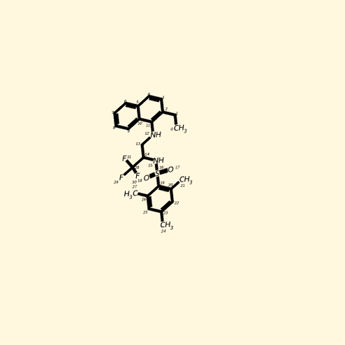 CCc1ccc2ccccc2c1NCC(NS(=O)(=O)c1c(C)cc(C)cc1C)C(F)(F)F